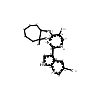 CC1(O)CCCCCC1Nc1nc(-c2c[nH]c3ncc(Cl)cc23)ncc1F